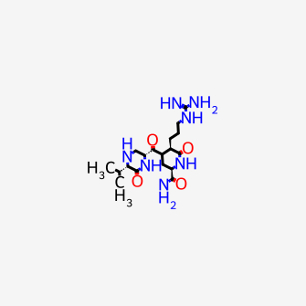 CC(C)[C@@H]1NC[C@H](C(=O)C2C[C@H](C(N)=O)NC(=O)[C@@H]2CCCNC(=N)N)NC1=O